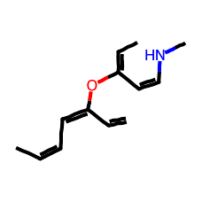 C=C/C(=C\C=C/C)OC(/C=C\NC)=C/C